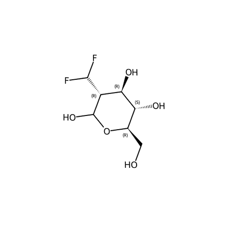 OC[C@H]1OC(O)[C@H](C(F)F)[C@@H](O)[C@@H]1O